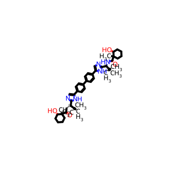 CC1(C(=O)C[C@H](c2ncc(-c3ccc(-c4ccc(-c5cnc([C@@H](NC(=O)C6(C)CCCCC6O)C(C)(C)C)[nH]5)cc4)cc3)[nH]2)C(C)(C)C)CCCCC1O